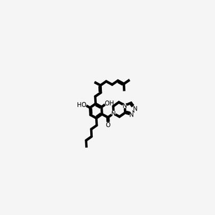 CCCCCc1cc(O)c(C/C=C(\C)CCC=C(C)C)c(O)c1C(=O)N1CCn2cnnc2C1